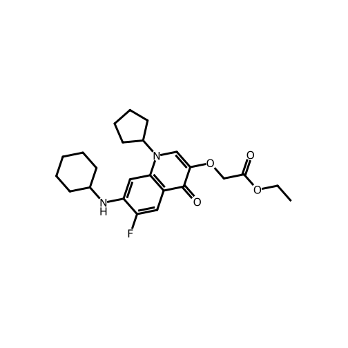 CCOC(=O)COc1cn(C2CCCC2)c2cc(NC3CCCCC3)c(F)cc2c1=O